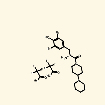 N[C@H](Cc1cc(Br)c(O)c(Br)c1)C(=O)N1CCC(N2CCCCC2)CC1.O=C(O)C(F)(F)F.O=C(O)C(F)(F)F